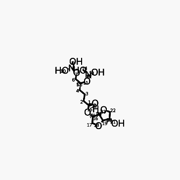 O=C(CCC[C@@H](CON(O)O)ON(O)O)O[C@@H]1COC2[C@H](O)CO[C@@H]21